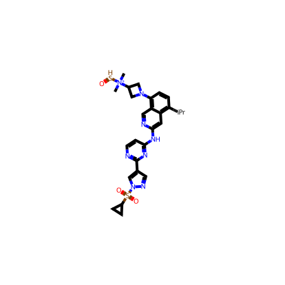 CC(C)c1ccc(N2CC([N+](C)(C)[SH]=O)C2)c2cnc(Nc3ccnc(-c4cnn(S(=O)(=O)C5CC5)c4)n3)cc12